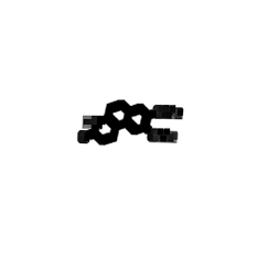 COc1cc2ccc3[nH]c(=O)ccc3c2cc1OC